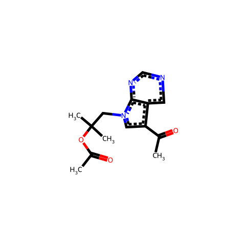 CC(=O)OC(C)(C)Cn1cc(C(C)=O)c2cncnc21